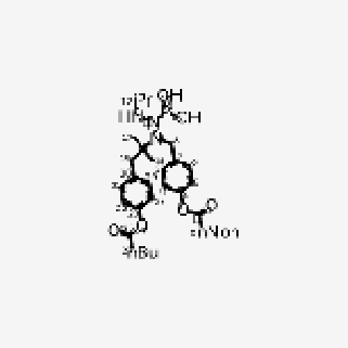 CCCCCCCCCC(=O)Oc1ccc(CN(N(NC(C)C)P(O)O)C(C)(C)Cc2ccc(OC(=O)CCCC)cc2)cc1